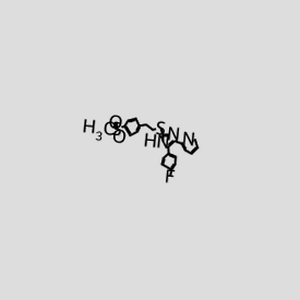 CS(=O)(=O)c1ccc(CCSc2nc(-c3ccccn3)c(-c3ccc(F)cc3)[nH]2)cc1